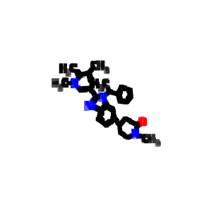 C=C1C(C)=CC(c2nc3ccc(C4CCN(C)C(=O)C4)cc3n2[C@@H](C)c2ccccc2)=CN1C